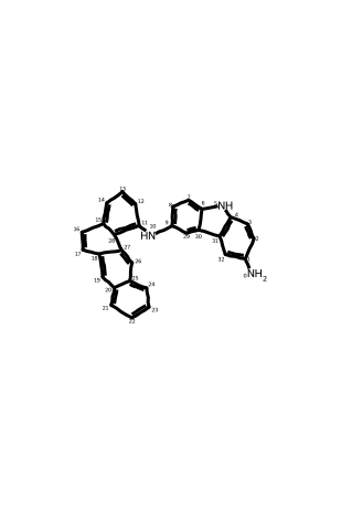 Nc1ccc2[nH]c3ccc(Nc4cccc5ccc6cc7ccccc7cc6c45)cc3c2c1